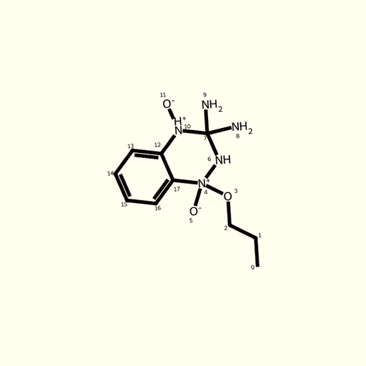 CCCO[N+]1([O-])NC(N)(N)[NH+]([O-])c2ccccc21